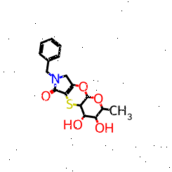 CC1OC2OC3=C(SC2C(O)C1O)C(=O)N(Cc1ccccc1)C3